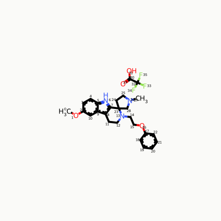 COc1ccc2[nH]c3c(c2c1)CCN(CCOc1ccccc1)C31CCN(C)C1.O=C(O)C(F)(F)F